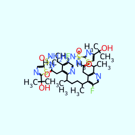 CC(C)c1ncc(F)c(C(C)CCC(C)c2ncc(F)c(C(C)C)c2CC(=O)N=S(N)(=O)c2cnc(C(C)(C)O)s2)c1CC(=O)N=S(N)(=O)c1nc(C(C)(C)O)cs1